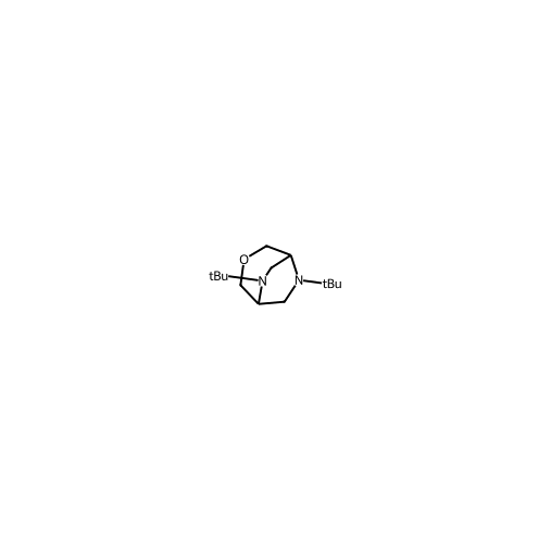 CC(C)(C)N1CC2COCC1CN2C(C)(C)C